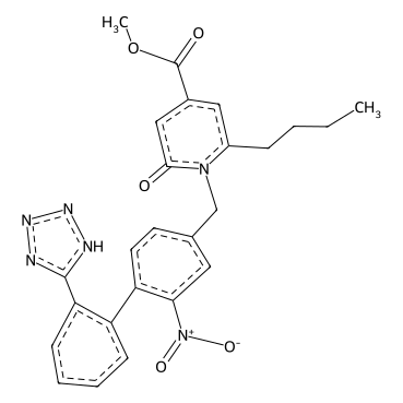 CCCCc1cc(C(=O)OC)cc(=O)n1Cc1ccc(-c2ccccc2-c2nnn[nH]2)c([N+](=O)[O-])c1